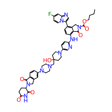 CCCCOC(=O)N1Cc2c(-c3cnc4cc(F)ccn34)ccc(Nc3ccc(N4CCC(O)(CN5CCN(c6ccc7c(c6)CN(C6CCC(=O)NC6=O)C7=O)CC5)CC4)cn3)c2C1=O